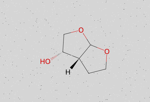 O[C@@H]1COC2OCC[C@@H]21